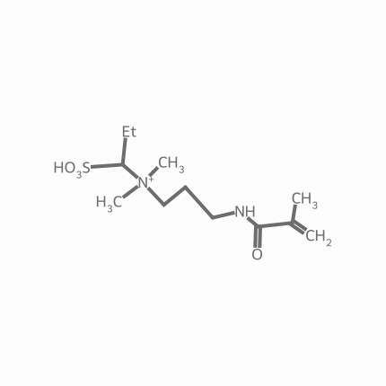 C=C(C)C(=O)NCCC[N+](C)(C)C(CC)S(=O)(=O)O